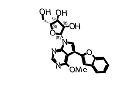 COc1ncnc2c1c(-c1cc3ccccc3o1)cn2[C@@H]1O[C@H](CO)[C@@H](O)[C@H]1O